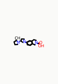 C[C@H]1CCCN1[C@H]1CCN(c2ccc3c(c2)CCN(C(=O)O)C3)C1